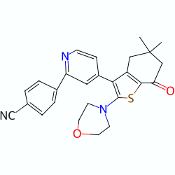 CC1(C)CC(=O)c2sc(N3CCOCC3)c(-c3ccnc(-c4ccc(C#N)cc4)c3)c2C1